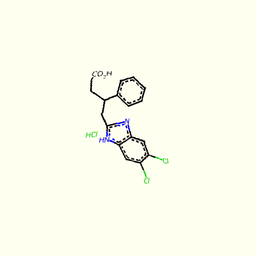 Cl.O=C(O)CC(Cc1nc2cc(Cl)c(Cl)cc2[nH]1)c1ccccc1